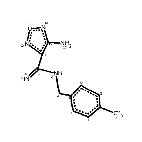 N=C(NCc1ccc(C(F)(F)F)cc1)c1nonc1N